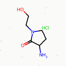 Cl.NC1CCN(CCO)C1=O